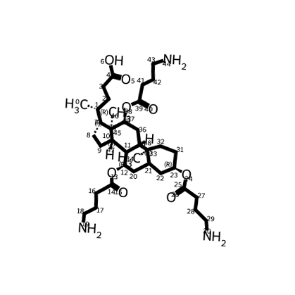 C[C@H](CCC(=O)O)[C@H]1CC[C@H]2C3[C@H](OC(=O)CCCN)CC4C[C@H](OC(=O)CCCN)CC[C@]4(C)[C@H]3C[C@H](OC(=O)CCCN)[C@]12C